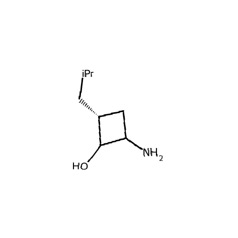 CC(C)C[C@@H]1CC(N)C1O